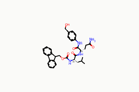 CC(C)C[C@H](NC(=O)OCC1c2ccccc2-c2ccccc21)C(=O)N[C@@H](CCC(N)=O)C(=O)Nc1ccc(CO)cc1